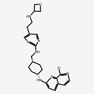 Clc1nccc2ccc(N[C@H]3CC[C@H](CNc4ncc(CCNC5COC5)cn4)CC3)nc12